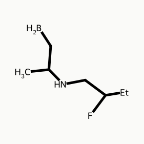 BCC(C)NCC(F)CC